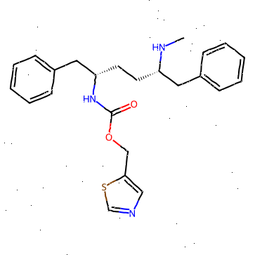 CN[C@@H](CC[C@@H](Cc1ccccc1)NC(=O)OCc1cncs1)Cc1ccccc1